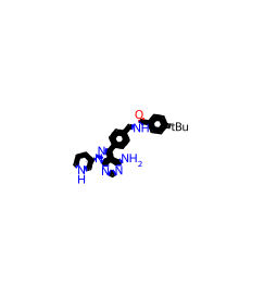 CC(C)(C)c1ccc(C(=O)NCc2ccc(-c3nn([C@@H]4CCCNC4)c4ncnc(N)c34)cc2)cc1